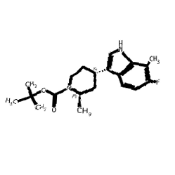 Cc1c(F)ccc2c([C@H]3CCN(C(=O)OC(C)(C)C)[C@H](C)C3)c[nH]c12